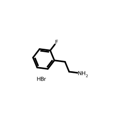 Br.NCCc1ccccc1F